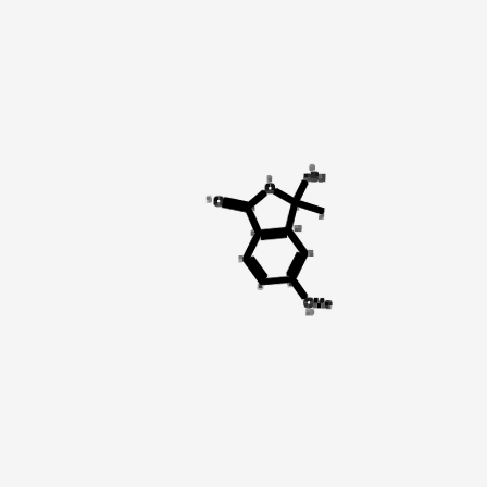 CCCCC1(C)OC(=O)c2ccc(OC)cc21